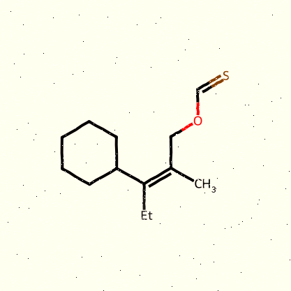 CCC(=C(C)COC=S)C1CCCCC1